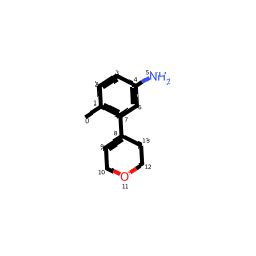 Cc1ccc(N)cc1C1=[C]COCC1